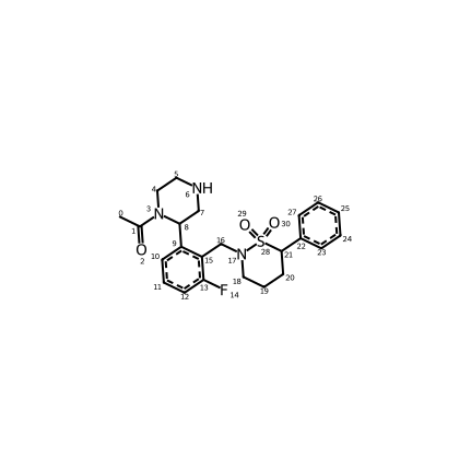 CC(=O)N1CCNCC1c1cccc(F)c1CN1CCCC(c2ccccc2)S1(=O)=O